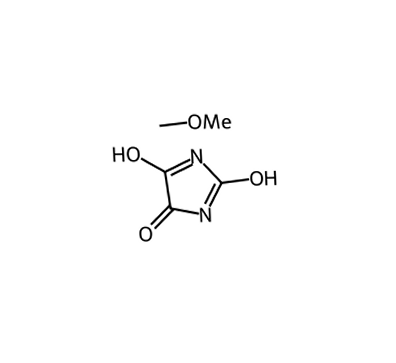 COC.O=C1N=C(O)N=C1O